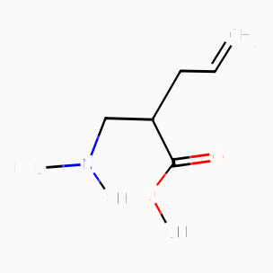 C=CCC(CN(C)C)C(=O)OC